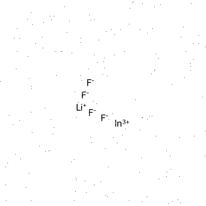 [F-].[F-].[F-].[F-].[In+3].[Li+]